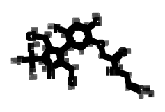 C=CCNC(=O)COc1cc(-c2c(CCl)[nH]c(C(F)(F)F)c2CCl)c(F)cc1Cl